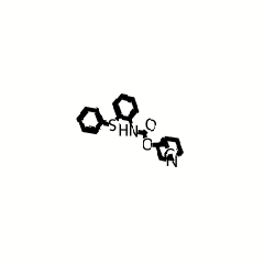 O=C(Nc1ccccc1Sc1ccccc1)OC1CN2CCC1CC2